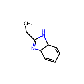 CCC1=NC2C=CC=CC2N1